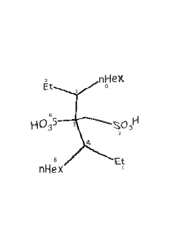 CCCCCCC(CC)C(C(CC)CCCCCC)(S(=O)(=O)O)S(=O)(=O)O